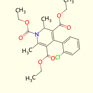 CCOC(=O)C1=C(C)N(C(=O)OCC)C(C)C(C(=O)OCC)=C1c1ccccc1Cl